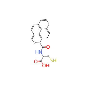 O=C(N[C@@H](CS)C(=O)O)c1ccc2ccc3c4c2c1CC=C4CC=C3